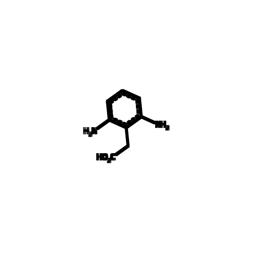 Nc1cccc(N)c1CC(=O)O